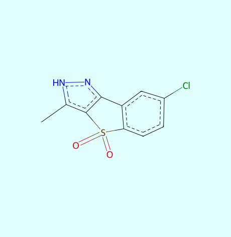 Cc1[nH]nc2c1S(=O)(=O)c1ccc(Cl)cc1-2